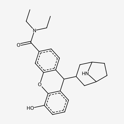 CCN(CC)C(=O)c1ccc2c(c1)Oc1c(O)cccc1C2C1CC2CCC(C1)N2